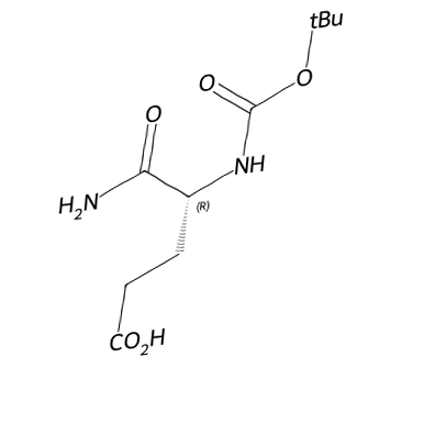 CC(C)(C)OC(=O)N[C@H](CCC(=O)O)C(N)=O